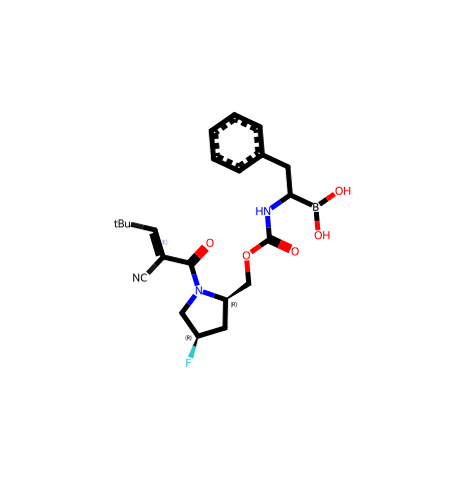 CC(C)(C)/C=C(\C#N)C(=O)N1C[C@H](F)C[C@@H]1COC(=O)NC(Cc1ccccc1)B(O)O